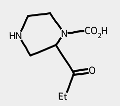 CCC(=O)C1CNCCN1C(=O)O